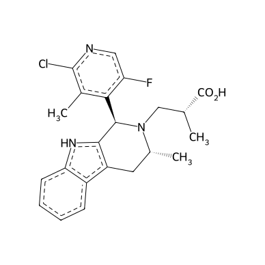 Cc1c(Cl)ncc(F)c1[C@@H]1c2[nH]c3ccccc3c2C[C@@H](C)N1C[C@@H](C)C(=O)O